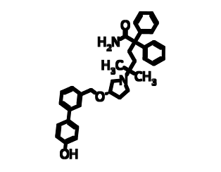 CC(C)(CCC(C(N)=O)(c1ccccc1)c1ccccc1)N1CC[C@H](OCc2cccc(-c3ccc(O)cc3)c2)C1